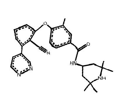 Cc1cc(C(=O)NC2CC(C)(C)NC(C)(C)C2)ccc1Oc1cccc(-c2ccnnc2)c1C#N